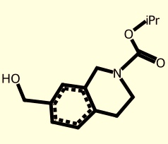 CC(C)OC(=O)N1CCc2ccc(CO)cc2C1